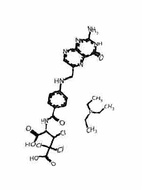 CCP(CC)CC.Nc1nc2ncc(CNc3ccc(C(=O)N[C@H](C(=O)O)C(Cl)C(Cl)(Cl)C(=O)O)cc3)nc2c(=O)[nH]1